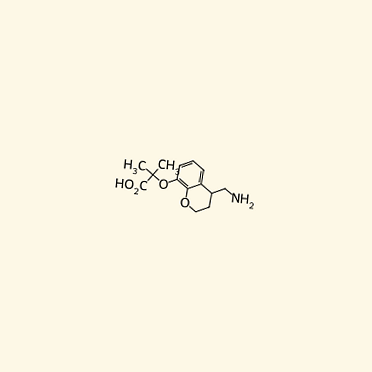 CC(C)(Oc1cccc2c1OCCC2CN)C(=O)O